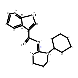 O=C(/N=C1\SCCCN1C1CCCCC1)c1c[nH]c2ncccc12